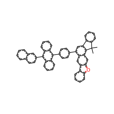 CC1(C)c2ccccc2-c2cc(-c3ccc(-c4c5ccccc5c(-c5ccc6ccccc6c5)c5ccccc45)cc3)c3cc4c(cc3c21)oc1ccccc14